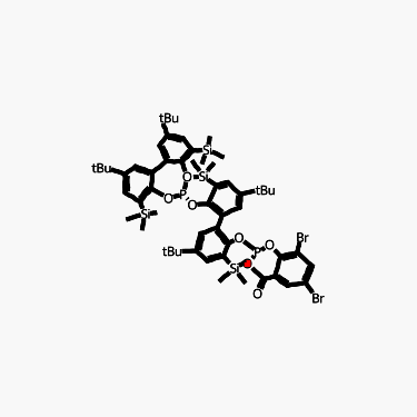 CC(C)(C)c1cc(-c2cc(C(C)(C)C)cc([Si](C)(C)C)c2Op2oc3c([Si](C)(C)C)cc(C(C)(C)C)cc3c3cc(C(C)(C)C)cc([Si](C)(C)C)c3o2)c(OP2OC(=O)c3cc(Br)cc(Br)c3O2)c([Si](C)(C)C)c1